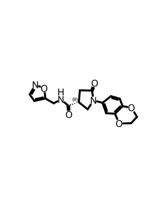 O=C(NCc1ccno1)[C@@H]1CC(=O)N(c2ccc3c(c2)OCCO3)C1